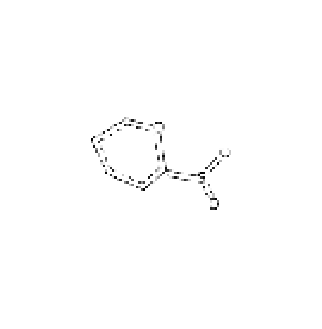 O=S(=O)=c1cccco1